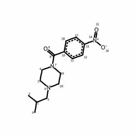 C[C](C)CN1CCN(C(=O)c2ccc([N+](=O)[O-])cc2)CC1